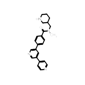 CN(CC1CCCNC1)C(=O)c1ccc(-c2cncc(-c3ccncc3)c2)cc1